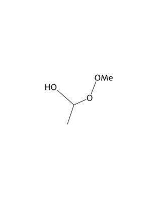 COOC(C)O